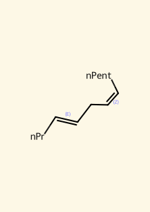 [CH2]CC/C=C/C/C=C\CCCCC